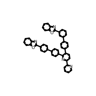 c1ccc(-c2ccc(-c3ccc(-c4cccc(-c5nc6ccccc6o5)c4)cc3)c(-c3ccc(-c4ccc(-c5nc6ccccc6o5)cc4)cc3)n2)nc1